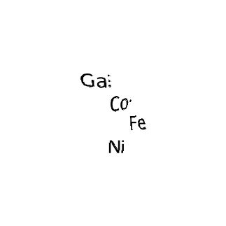 [Co].[Fe].[Ga].[Ni]